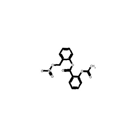 CC(=O)Oc1ccccc1C(=O)Oc1ccccc1CO[N+](=O)[O-]